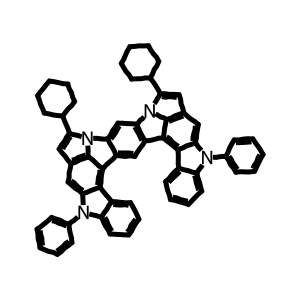 c1ccc(-n2c3ccccc3c3c4c5cc6c7c8c9ccccc9n(-c9ccccc9)c8cc8cc(C9CCCCC9)n(c6cc5n5c(C6CCCCC6)cc(cc32)c45)c87)cc1